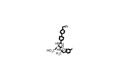 CC(C)Cc1ccc(-c2ccc(C(=O)N[C@@H](CCC(=O)O)C(=O)NC(C)(C)Cc3ccc(F)cc3)cc2)cc1